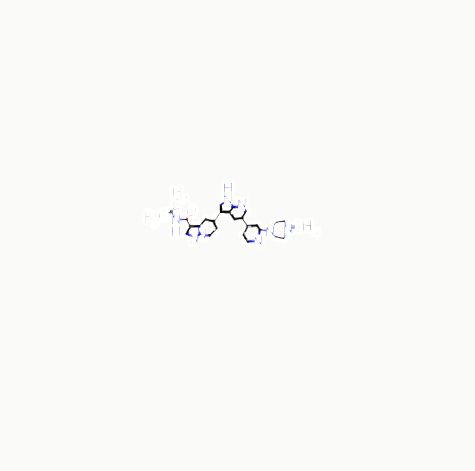 C[C@@H](NC(=O)c1cnn2ccc(-c3c[nH]c4ncc(-c5ccnc(N6CCN(C)CC6)c5)cc34)cc12)C(F)(F)F